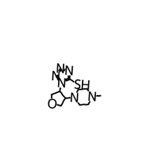 CN1CCN(C2COCC2n2nnnc2S)CC1